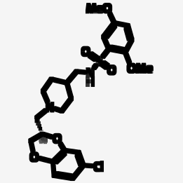 COc1ccc(OC)c(S(=O)(=O)NCC2CCN(C[C@H]3COc4ccc(Cl)cc4O3)CC2)c1